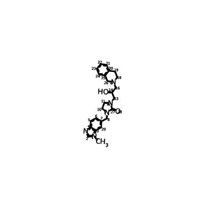 Cn1cnc2ccc(CN3CCN(CC(O)CN4CCc5ccccc5C4)C3=O)cc21